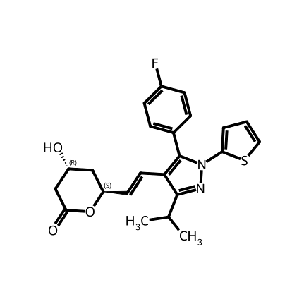 CC(C)c1nn(-c2cccs2)c(-c2ccc(F)cc2)c1C=C[C@@H]1C[C@@H](O)CC(=O)O1